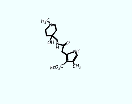 CCOC(=O)c1c(C)c[nH]c1CC(=O)NCC1(O)CCN(C)CC1